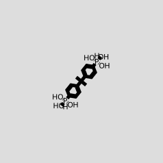 CC(C)(c1ccc([PH](O)(O)O)cc1)c1ccc([PH](O)(O)O)cc1